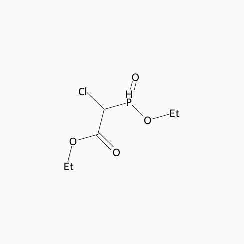 CCOC(=O)C(Cl)[PH](=O)OCC